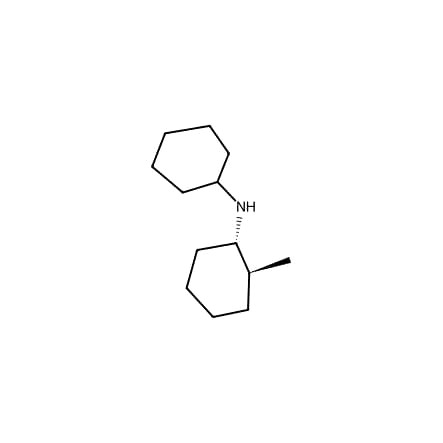 C[C@H]1CCCC[C@@H]1NC1CCCCC1